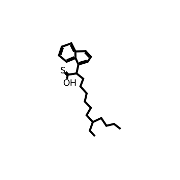 CCCCC(CC)CCCCCCC(C(O)=S)c1cccc2ccccc12